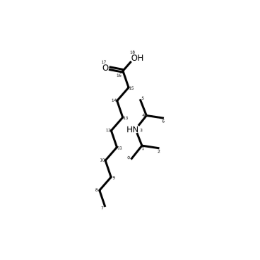 CC(C)NC(C)C.CCCCCCCCCC(=O)O